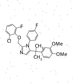 COc1ccc(C(C)(C)c2cnc(COc3c(F)cccc3Cl)n2-c2ccc(F)cc2)cc1OC